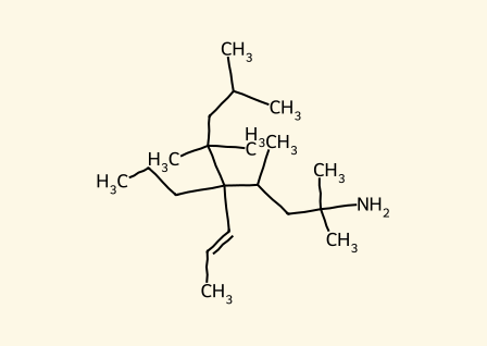 CC=CC(CCC)(C(C)CC(C)(C)N)C(C)(C)CC(C)C